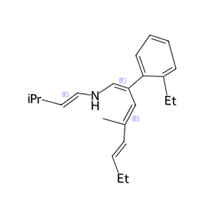 CCC=C/C(C)=C/C(=C\N/C=C/C(C)C)c1ccccc1CC